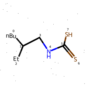 CCCCC(CC)CNC(=S)S